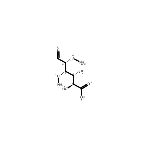 NO[C@@H]([C@H](O)[C@H](O)C(=O)O)[C@H](C=O)ON